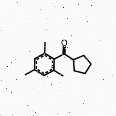 Cc1cc(C)c(C(=O)[C]2CCCC2)c(C)c1